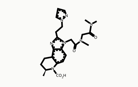 C[C@H]1CCc2c(ccc3c2nc(CCn2cccn2)n3CC(=O)N(C)CC(=O)N(C)C)N1C(=O)O